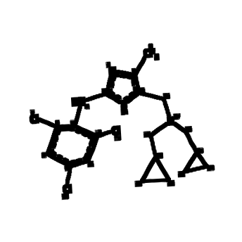 FC(F)(F)c1nc(Nc2c(Cl)cc(Cl)cc2Cl)sc1CN(CC1CC1)CC1CC1